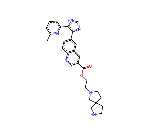 Cc1cccc(-c2[nH]cnc2-c2ccc3ncc(C(=O)OCCN4CCC5(CCNC5)C4)cc3c2)n1